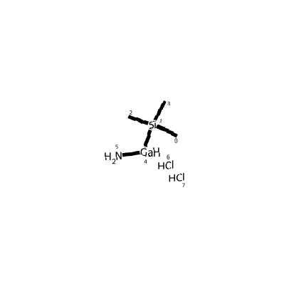 C[Si](C)(C)[GaH][NH2].Cl.Cl